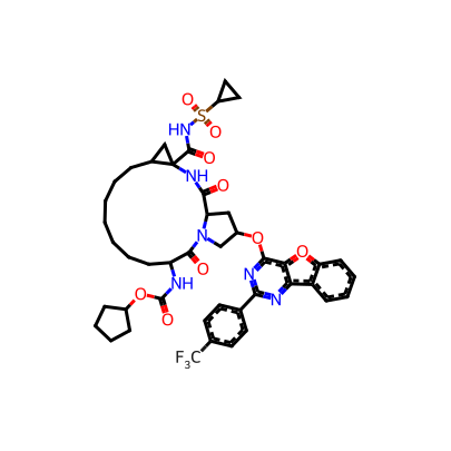 O=C(NC1CCCCCCCC2CC2(C(=O)NS(=O)(=O)C2CC2)NC(=O)C2CC(Oc3nc(-c4ccc(C(F)(F)F)cc4)nc4c3oc3ccccc34)CN2C1=O)OC1CCCC1